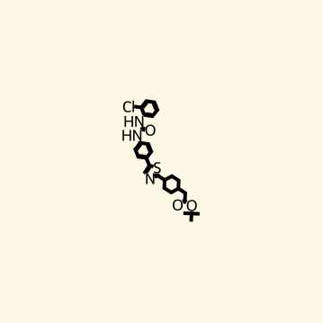 CC(C)(C)OC(=O)CC1CCC(c2ncc(-c3ccc(NC(=O)Nc4ccccc4Cl)cc3)s2)CC1